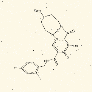 COC1CCN2CN(CC1)n1cc(C(=O)NCc3ccc(F)cc3F)c(=O)c(O)c1C2=O